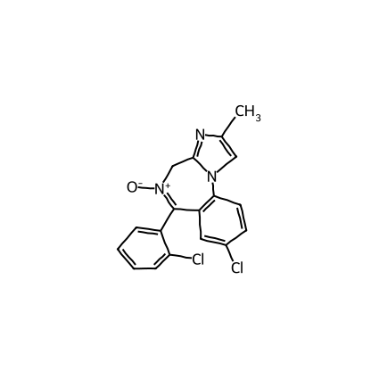 Cc1cn2c(n1)C[N+]([O-])=C(c1ccccc1Cl)c1cc(Cl)ccc1-2